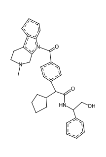 CN1CCc2c(n(C(=O)c3ccc(C(C(=O)NC(CO)c4ccccc4)C4CCCC4)cc3)c3ccccc23)C1